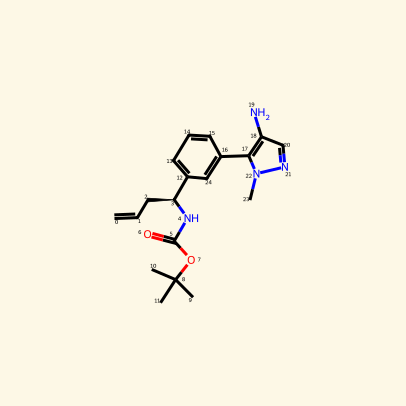 C=CC[C@H](NC(=O)OC(C)(C)C)c1cccc(-c2c(N)cnn2C)c1